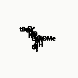 C=C\C=C(/C=C(\C=C/C)c1nc(C(=O)Nc2ccc(CN3CCOCC3(C)CCC=C)cc2C(=O)NCCOC)co1)NC(=O)OC(C)(C)C